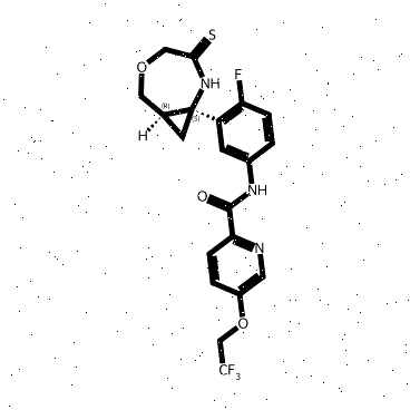 O=C(Nc1ccc(F)c([C@]23C[C@H]2COCC(=S)N3)c1)c1ccc(OCC(F)(F)F)cn1